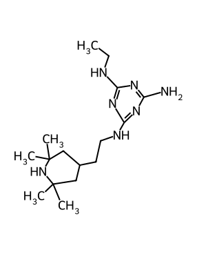 CCNc1nc(N)nc(NCCC2CC(C)(C)NC(C)(C)C2)n1